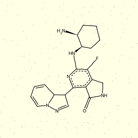 N[C@H]1CCCC[C@H]1Nc1nc(C2C=NN3C=CC=CC23)c2c(c1F)CNC2=O